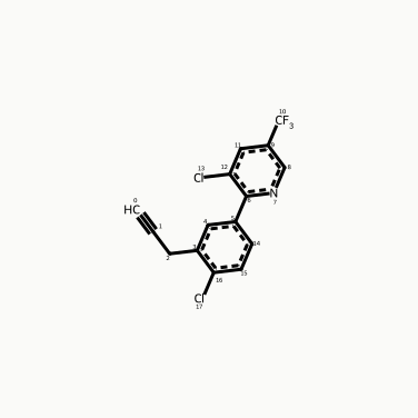 C#CCc1cc(-c2ncc(C(F)(F)F)cc2Cl)ccc1Cl